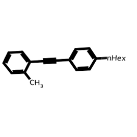 CCCCCCc1ccc(C#Cc2ccccc2C)cc1